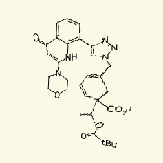 CC(OC(=O)C(C)(C)C)C1(C(=O)O)C=CC=C(Cn2cc(-c3cccc4c(=O)cc(N5CCOCC5)[nH]c34)nn2)C1